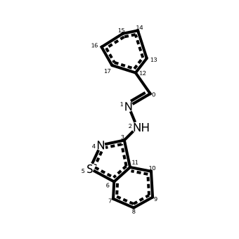 C(=NNc1nsc2ccccc12)c1ccccc1